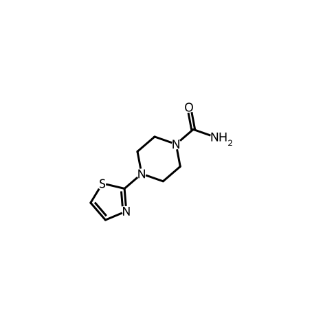 NC(=O)N1CCN(c2nccs2)CC1